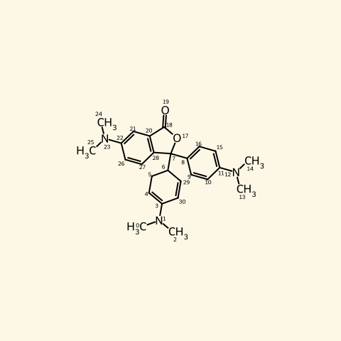 CN(C)C1=CCC(C2(c3ccc(N(C)C)cc3)OC(=O)c3cc(N(C)C)ccc32)C=C1